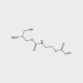 C=CC(=O)OCCNC(=O)OCC(CO)OC